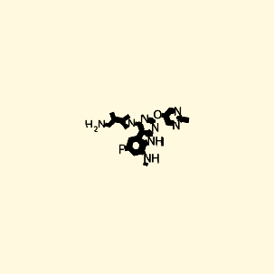 CNc1cc(F)cc2c1[nH]c1nc(Oc3cnc(C)nc3)nc(N3CC(=C(C)CN)C3)c12